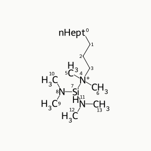 CCCCCCCCCC[N+](C)(C)[SiH](N(C)C)N(C)C